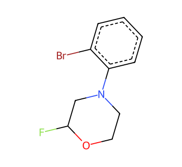 FC1CN(c2ccccc2Br)CCO1